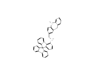 CN(Cc1ccc2c(c1)Cc1ccccc1N2C)c1cccc2c1-c1ccccc1C21c2ccccc2-c2ccccc21